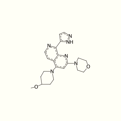 COC1CCN(c2cc(N3CCOCC3)nc3c(-c4ccn[nH]4)nccc23)CC1